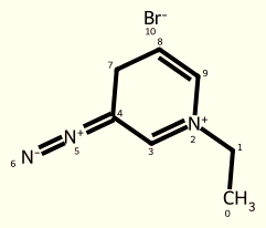 CC[N+]1=CC(=[N+]=[N-])CC=C1.[Br-]